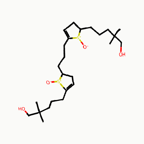 CC(C)(CO)CCCC1=CCC(CCCC2=CCC(CCCC(C)(C)CO)[S+]2[O-])[S+]1[O-]